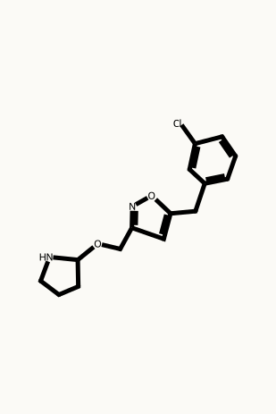 Clc1cccc(Cc2cc(COC3CCCN3)no2)c1